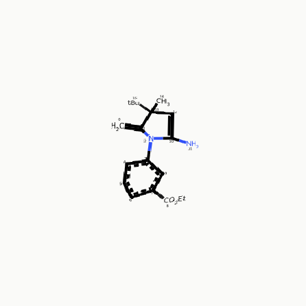 C=C1N(c2cccc(C(=O)OCC)c2)C(N)=CC1(C)C(C)(C)C